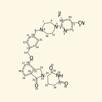 N#Cc1cnc(N2CCN(Cc3ccc(COc4cccc5c4CN([C@H]4CCC(=O)NC4=O)C5=O)cc3)CC2)c(F)c1